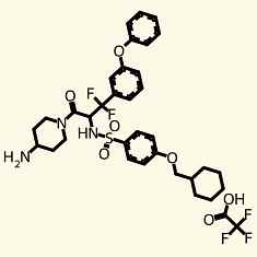 NC1CCN(C(=O)C(NS(=O)(=O)c2ccc(OCC3CCCCC3)cc2)C(F)(F)c2cccc(Oc3ccccc3)c2)CC1.O=C(O)C(F)(F)F